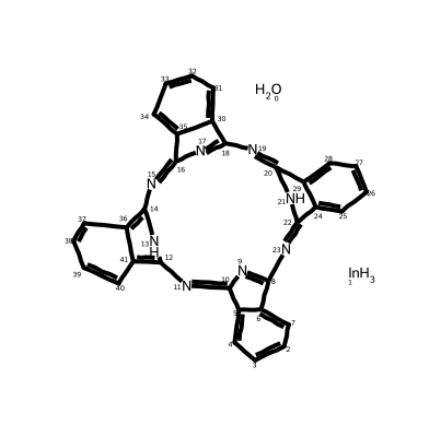 O.[InH3].c1ccc2c(c1)-c1nc-2nc2[nH]c(nc3nc(nc4[nH]c(n1)c1ccccc41)-c1ccccc1-3)c1ccccc21